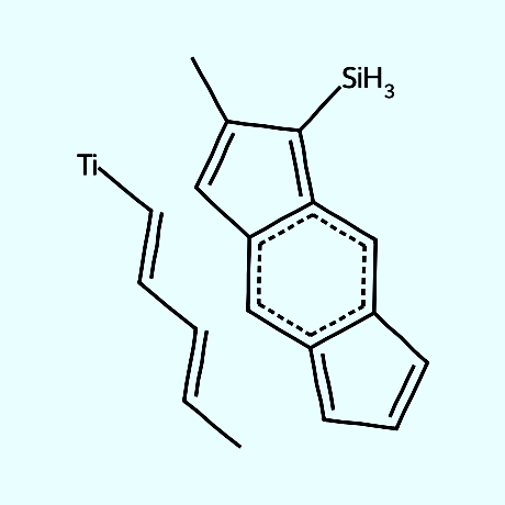 CC1=Cc2cc3c(cc2=C1[SiH3])C=CC=3.CC=CC=[CH][Ti]